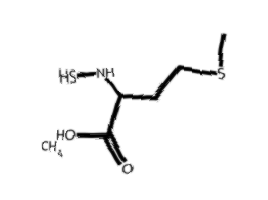 C.CSCCC(NS)C(=O)O